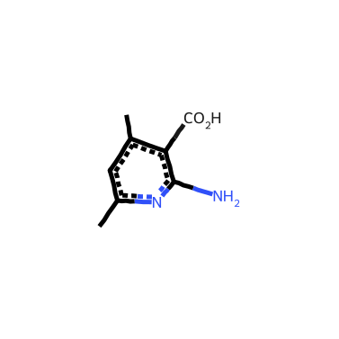 Cc1cc(C)c(C(=O)O)c(N)n1